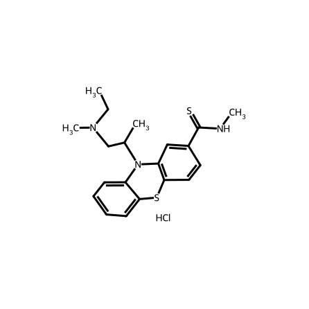 CCN(C)CC(C)N1c2ccccc2Sc2ccc(C(=S)NC)cc21.Cl